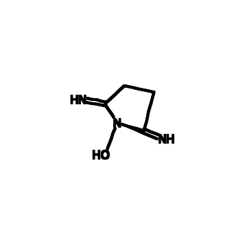 N=C1CCC(=N)N1O